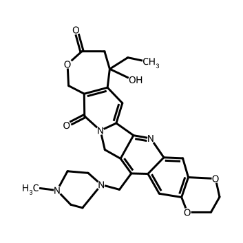 CCC1(O)CC(=O)OCc2c1cc1n(c2=O)Cc2c-1nc1cc3c(cc1c2CN1CCN(C)CC1)OCCO3